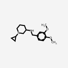 COc1ccc(CNC2CCCN(C3CC3)C2)cc1OC